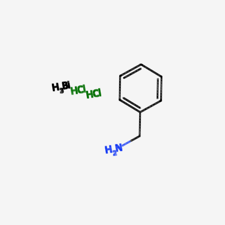 Cl.Cl.NCc1ccccc1.[BiH3]